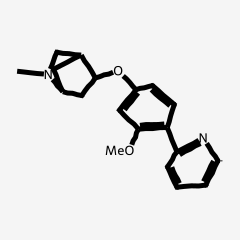 COc1cc(OC2CC3CC2CN3C)ccc1-c1ccc[c]n1